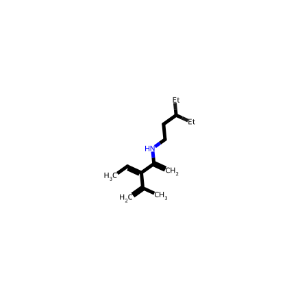 C=C(C)/C(=C\C)C(=C)NCCC(CC)CC